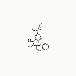 CCOC(=O)c1ccc2oc(/C=C\c3ccccc3)c(CC)c(=O)c2c1